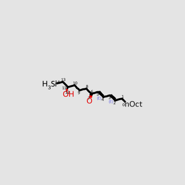 CCCCCCCCC/C=C/C=C/C(=O)CCCC(O)C[SiH3]